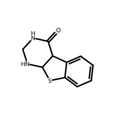 O=C1NCNC2Sc3ccccc3C12